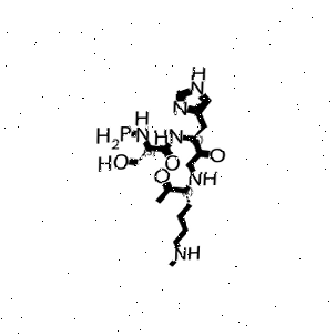 CNCCCC[C@@H](NCC(=O)[C@H](Cc1c[nH]cn1)NC(=O)[C@H](CO)NP)C(C)=O